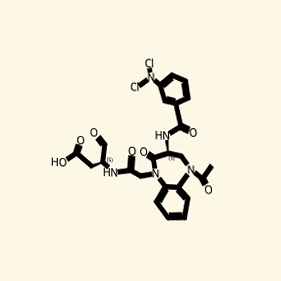 CC(=O)N1C[C@H](NC(=O)c2cccc(N(Cl)Cl)c2)C(=O)N(CC(=O)N[C@H](C=O)CC(=O)O)c2ccccc21